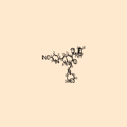 N#Cc1ccc(-c2cnc3c(c2)cc(C(=O)NC24CC(C2)C4)c(=O)n3CCN2CCOCC2)nc1